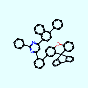 c1ccc(-c2nc(-c3ccccc3-c3ccc4c(c3)C3(c5ccccc5O4)c4ccccc4-c4ccccc43)cc(-c3ccc(-c4ccccc4)c4ccccc34)n2)cc1